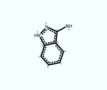 [NH]c1n[nH]c2ccccc12